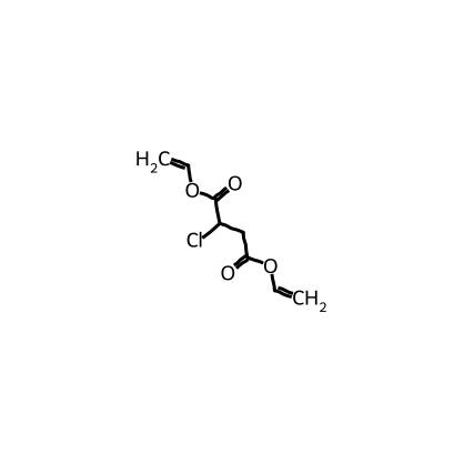 C=COC(=O)CC(Cl)C(=O)OC=C